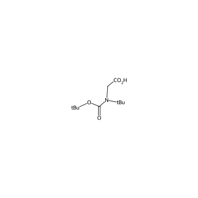 CC(C)(C)OC(=O)N(CC(=O)O)C(C)(C)C